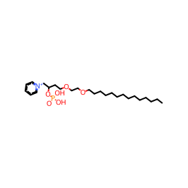 CCCCCCCCCCCCCCOCCOCCC(C[n+]1ccccc1)OP(=O)(O)O